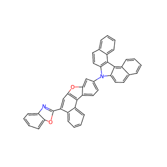 c1ccc2c(c1)ccc1c2c2c3ccccc3ccc2n1-c1ccc2c(c1)oc1cc(-c3nc4ccccc4o3)c3ccccc3c12